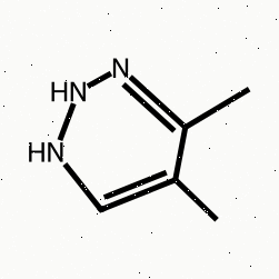 CC1=CNNN=C1C